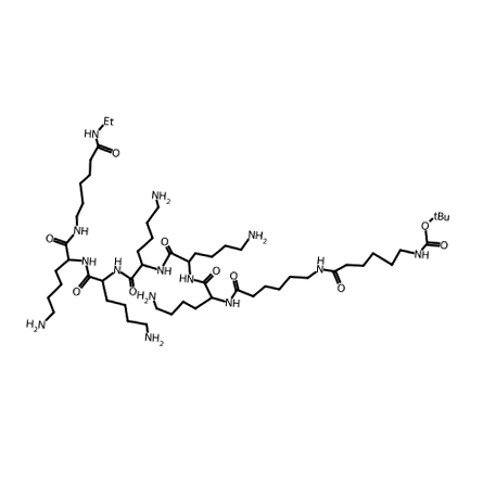 CCNC(=O)CCCCCNC(=O)C(CCCCN)NC(=O)C(CCCCN)NC(=O)C(CCCCN)NC(=O)C(CCCCN)NC(=O)C(CCCCN)NC(=O)CCCCCNC(=O)CCCCCNC(=O)OC(C)(C)C